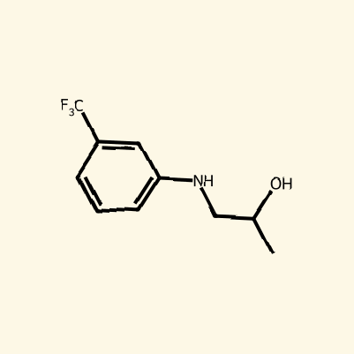 CC(O)CNc1cccc(C(F)(F)F)c1